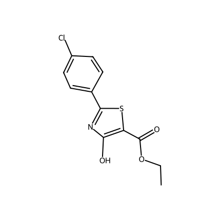 CCOC(=O)c1sc(-c2ccc(Cl)cc2)nc1O